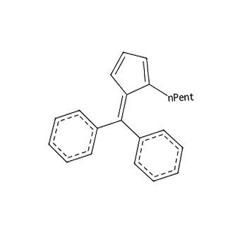 CCCCCC1=CC=CC1=C(c1ccccc1)c1ccccc1